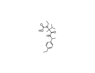 CCc1ccc(C(C)NC(=O)C(C)(C(C)C)N(CC)C(=O)O)cc1